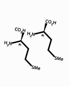 CSCC[C@@H](N)C(=O)O.CSCC[C@@H](N)C(=O)O